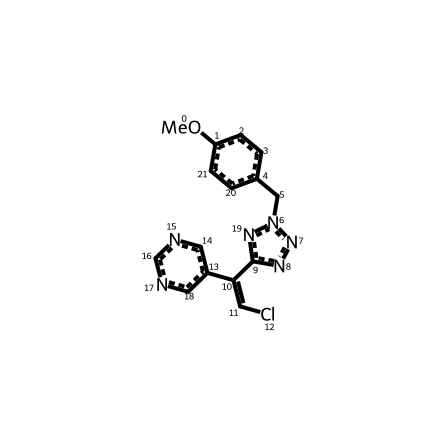 COc1ccc(Cn2nnc(/C(=C\Cl)c3cncnc3)n2)cc1